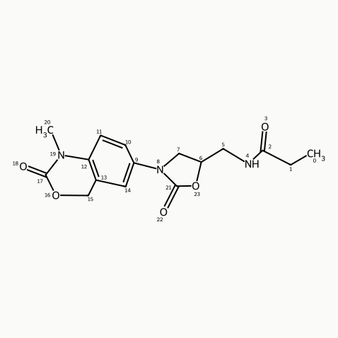 CCC(=O)NCC1CN(c2ccc3c(c2)COC(=O)N3C)C(=O)O1